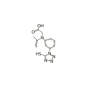 CC(=S)N(CC(=O)O)c1cccc(-n2nnnc2S)c1